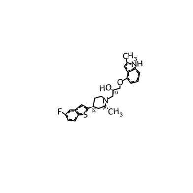 Cc1cc2c(OC[C@@H](O)CN3CC[C@H](c4cc5cc(F)ccc5s4)C[C@H]3C)cccc2[nH]1